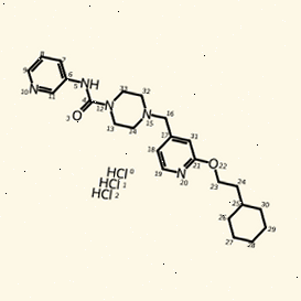 Cl.Cl.Cl.O=C(Nc1cccnc1)N1CCN(Cc2ccnc(OCCC3CCCCC3)c2)CC1